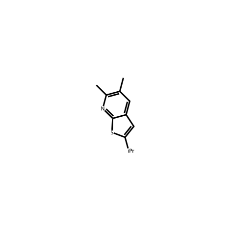 Cc1cc2cc(C(C)C)sc2nc1C